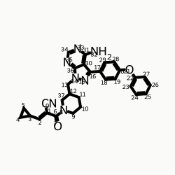 N#C/C(=C\C1CC1)C(=O)N1CCCC(Cn2nc(-c3ccc(Oc4ccccc4)cc3)c3c(N)ncnc32)C1